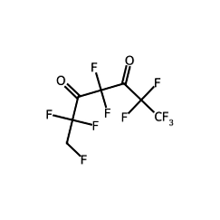 O=C(C(F)(F)CF)C(F)(F)C(=O)C(F)(F)C(F)(F)F